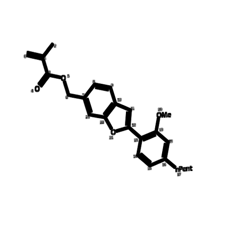 C=C(C)C(=O)OCc1ccc2cc(-c3ccc(CCCCC)cc3OC)oc2c1